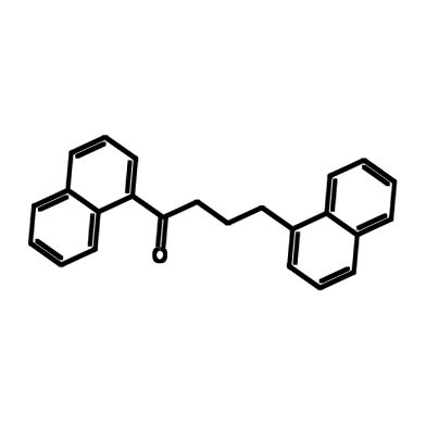 O=C(CCCc1cccc2ccccc12)c1cccc2ccccc12